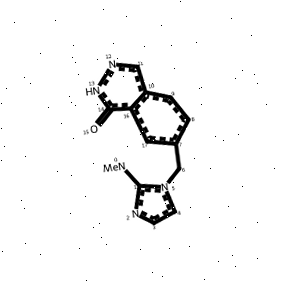 CNc1nccn1Cc1ccc2cn[nH]c(=O)c2c1